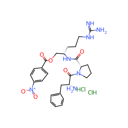 Cl.Cl.N=C(N)NCCC[C@@H](COC(=O)c1ccc([N+](=O)[O-])cc1)NC(=O)[C@@H]1CCCN1C(=O)[C@H](N)Cc1ccccc1